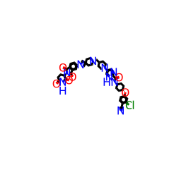 N#Cc1ccc(O[C@H]2CC[C@H](NC(=O)c3ncc(N4CCC(CN5CCC6(CC5)CN(c5ccc7c(c5)C(=O)N(C5CCC(=O)NC5=O)C7=O)C6)CC4)cn3)CC2)cc1Cl